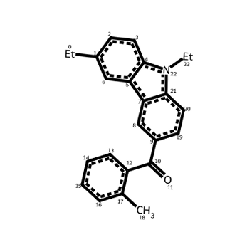 CCc1ccc2c(c1)c1cc(C(=O)c3ccccc3C)ccc1n2CC